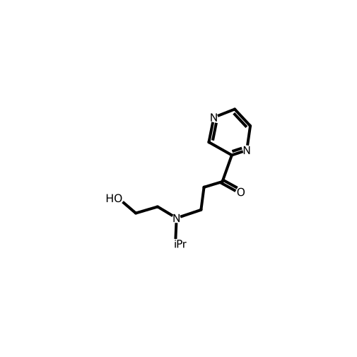 CC(C)N(CCO)CCC(=O)c1cnccn1